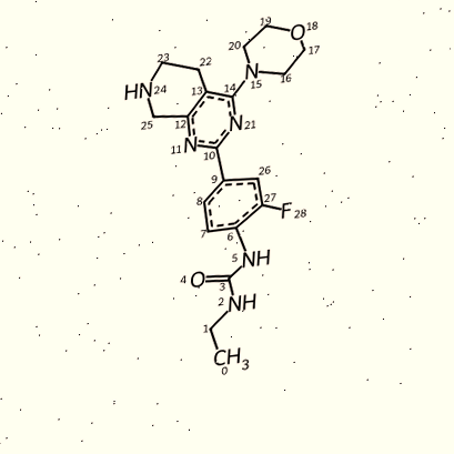 CCNC(=O)Nc1ccc(-c2nc3c(c(N4CCOCC4)n2)CCNC3)cc1F